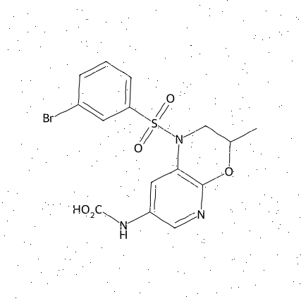 CC1CN(S(=O)(=O)c2cccc(Br)c2)c2cc(NC(=O)O)cnc2O1